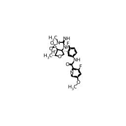 COc1cnc(C(=O)Nc2ccc(F)c([C@]34CO[C@H](C)[C@H]3S(=O)(=O)N(C)C(=N)N4)c2)c(F)c1